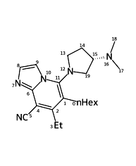 CCCCCCc1c(CC)c(C#N)c2nccn2c1N1CC[C@H](N(C)C)C1